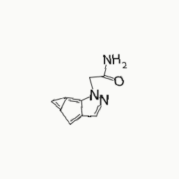 NC(=O)Cn1ncc2cc3cc-3c21